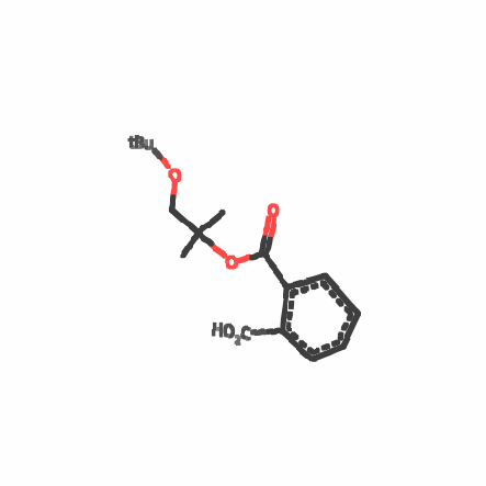 CC(C)(C)OCC(C)(C)OC(=O)c1ccccc1C(=O)O